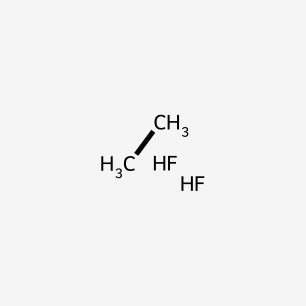 CC.F.F